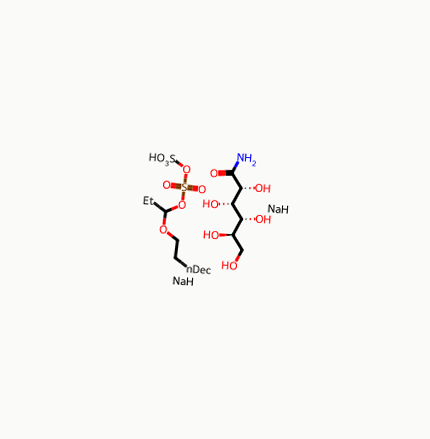 CCCCCCCCCCCCOC(CC)OS(=O)(=O)OS(=O)(=O)O.NC(=O)[C@H](O)[C@@H](O)[C@H](O)[C@H](O)CO.[NaH].[NaH]